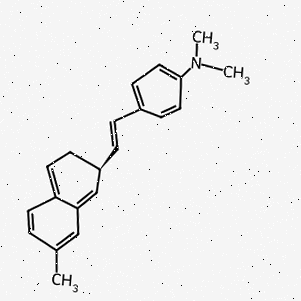 Cc1ccc2c(c1)=C[C@H](/C=C/c1ccc(N(C)C)cc1)CC=2